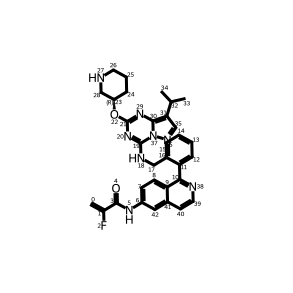 C=C(F)C(=O)Nc1ccc2c(-c3ccccc3CNc3nc(O[C@@H]4CCCNC4)nc4c(C(C)C)cnn34)nccc2c1